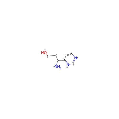 NC(CCO)c1ccncn1